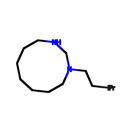 CC(C)CCN1CCCCCCCNC1